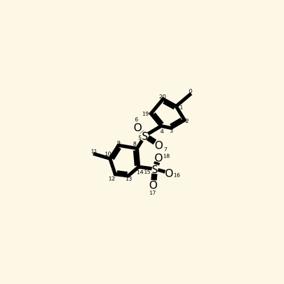 Cc1ccc(S(=O)(=O)c2cc(C)ccc2S([O])(=O)=O)cc1